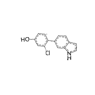 Oc1c[c]c(-c2ccc3cc[nH]c3c2)c(Cl)c1